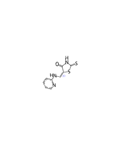 O=C1NC(=S)S/C1=C/Nc1ccccn1